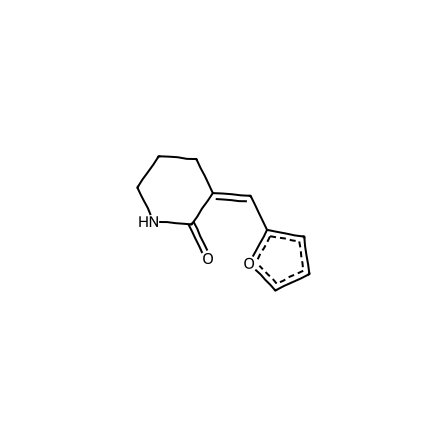 O=C1NCCCC1=Cc1ccco1